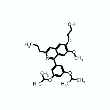 CCCc1cc2cc(OCCO)c(OC)cc2c(-c2cc(OC(C)C)cc(OC(C)C)c2)n1